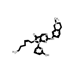 CCCC/C=C\Cn1c(=O)c2cnc(Nc3ccc4c(c3)CN(C)CC4)nc2n1-c1cccc(O)n1